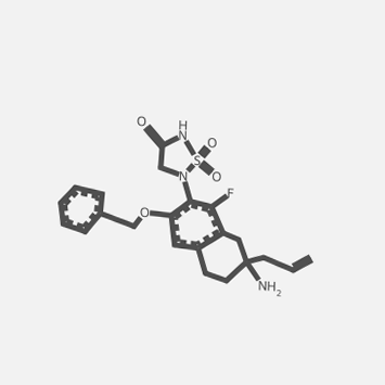 C=CCC1(N)CCc2cc(OCc3ccccc3)c(N3CC(=O)NS3(=O)=O)c(F)c2C1